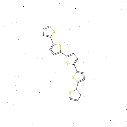 C1=C=C(c2ccc(C3=C=C=C(C4CC=CS4)S3)s2)SC=1c1cccs1